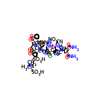 CN(C)C(CSC(N)=O)CSC(N)=O.CN(C)C(CSS(=O)(=O)O)CSS(=O)(=O)O.CN(C)C(CSS(=O)(=O)c1ccccc1)CSS(=O)(=O)c1ccccc1.CN(C)C1CSSSC1.CN/C(=N\[N+](=O)[O-])NCc1cnc(Cl)s1.N#CCNC(=O)c1cnccc1C(F)(F)F